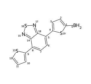 Bc1ccc(-c2ccc(-c3cccs3)c3nsnc23)s1